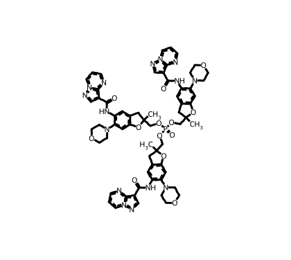 CC1(COP(=O)(OCC2(C)Cc3cc(NC(=O)c4cnn5cccnc45)c(N4CCOCC4)cc3O2)OCC2(C)Cc3cc(NC(=O)c4cnn5cccnc45)c(N4CCOCC4)cc3O2)Cc2cc(NC(=O)c3cnn4cccnc34)c(N3CCOCC3)cc2O1